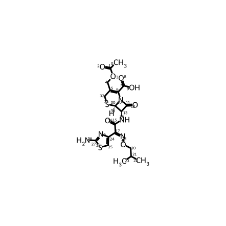 CC(=O)OCC1=C(C(=O)O)N2C(=O)[C@@H](NC(=O)C(=NOCC(C)C)c3csc(N)n3)[C@H]2SC1